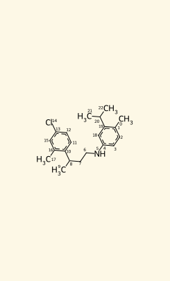 Cc1ccc(NCCC(C)c2ccc(Cl)cc2C)cc1C(C)C